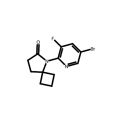 O=C1CCC2(CCC2)N1c1ncc(Br)cc1F